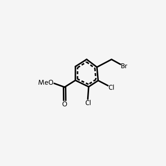 COC(=O)c1ccc(CBr)c(Cl)c1Cl